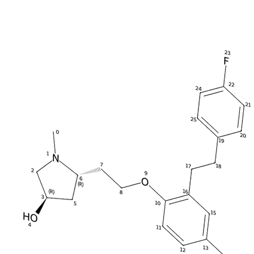 CN1C[C@H](O)C[C@H]1CCOc1ccc(F)cc1CCc1ccc(F)cc1